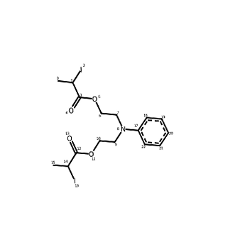 CC(I)C(=O)OCCN(CCOC(=O)C(C)I)c1ccccc1